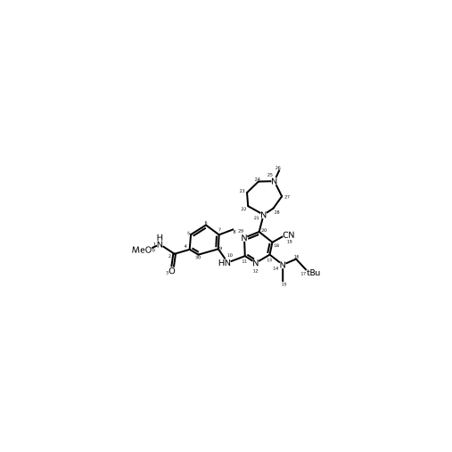 CONC(=O)c1ccc(C)c(Nc2nc(N(C)CC(C)(C)C)c(C#N)c(N3CCCN(C)CC3)n2)c1